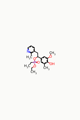 CCOP(=O)(CC)OC(Cc1cccnc1C)c1cc(C)c(O)c(OC)c1